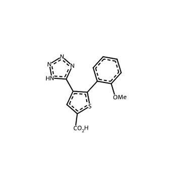 COc1ccccc1-c1sc(C(=O)O)cc1-c1nnn[nH]1